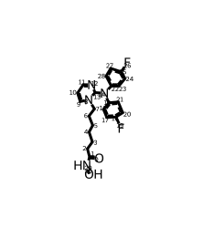 O=C(CCCCCCN1C=CC=NC1N(c1ccc(F)cc1)c1ccc(F)cc1)NO